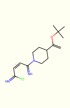 C=C(OC(C)(C)C)C1CCN(C(=N)/C=C\C(=N)Cl)CC1